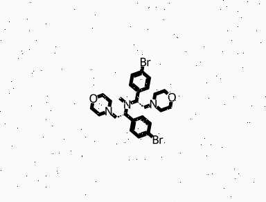 CN([C@@H](CN1CCOCC1)c1ccc(Br)cc1)[C@@H](CN1CCOCC1)c1ccc(Br)cc1